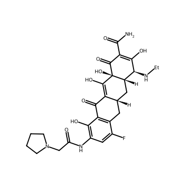 CCN[C@@H]1C(O)=C(C(N)=O)C(=O)[C@@]2(O)C(O)=C3C(=O)c4c(O)c(NC(=O)CN5CCCC5)cc(F)c4C[C@H]3C[C@@H]12